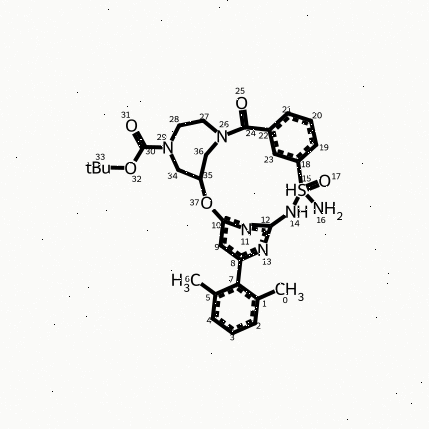 Cc1cccc(C)c1-c1cc2nc(n1)N[SH](N)(=O)c1cccc(c1)C(=O)N1CCN(C(=O)OC(C)(C)C)CC(C1)O2